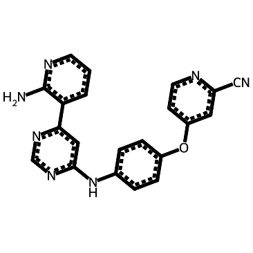 N#Cc1cc(Oc2ccc(Nc3cc(-c4cccnc4N)ncn3)cc2)ccn1